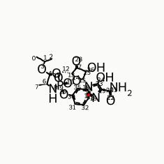 CC(C)OC(=O)[C@H](C)NP(=O)(OC[C@H]1O[C@@H](n2cnc(C(N)=O)c2O)[C@H](O)C1=O)Oc1ccccc1